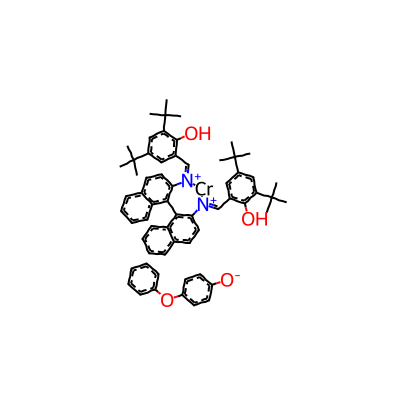 CC(C)(C)c1cc(C=[N+]2[Cr][N+](=Cc3cc(C(C)(C)C)cc(C(C)(C)C)c3O)c3ccc4ccccc4c3-c3c2ccc2ccccc32)c(O)c(C(C)(C)C)c1.[O-]c1ccc(Oc2ccccc2)cc1